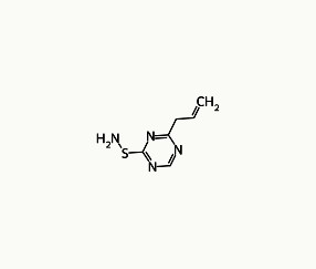 C=CCc1ncnc(SN)n1